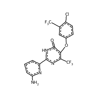 Nc1cccc(-c2nc(C(F)(F)F)c(Oc3ccc(Cl)c(C(F)(F)F)c3)c(=O)[nH]2)n1